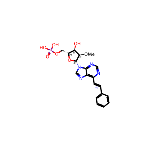 CO[C@@H]1[C@H](O)[C@@H](COP(=O)(O)O)O[C@H]1n1cnc2c(/C=C/c3ccccc3)ncnc21